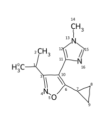 CC(C)c1noc(C2CC2)c1-c1cn(C)cn1